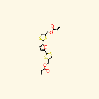 C=CC(=O)OCC1CSC(c2ccc(C3SCC(COC(=O)C=C)S3)o2)S1